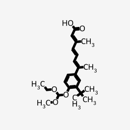 CCOC(OC)Oc1ccc(C(C)=CC=C/C(C)=C/C(=O)O)cc1C(C)(C)C